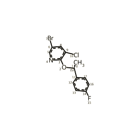 C[C@H](Oc1ncc(Br)cc1Cl)c1ccc(F)cc1